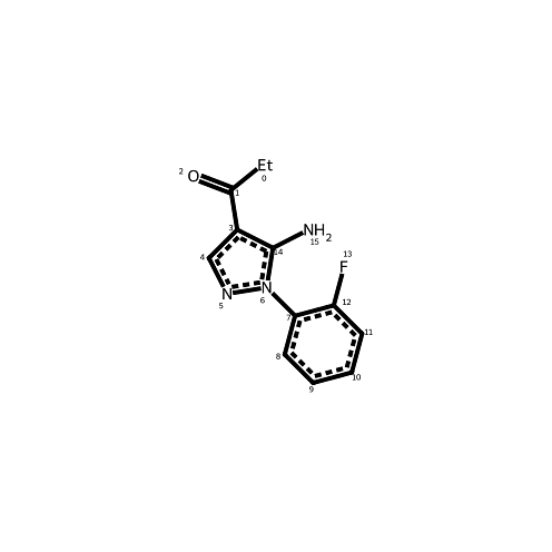 CCC(=O)c1cnn(-c2ccccc2F)c1N